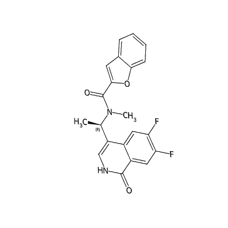 C[C@H](c1c[nH]c(=O)c2cc(F)c(F)cc12)N(C)C(=O)c1cc2ccccc2o1